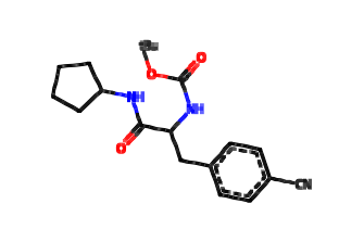 CC(C)(C)OC(=O)NC(Cc1ccc(C#N)cc1)C(=O)NC1CCCC1